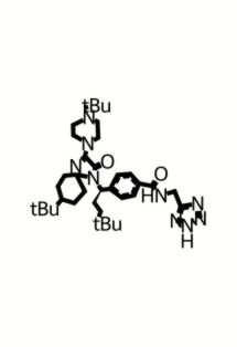 CC(C)(C)CC[C@H](c1ccc(C(=O)NCc2nn[nH]n2)cc1)N1C(=O)C(N2CCN(C(C)(C)C)CC2)=NC12CCC(C(C)(C)C)CC2